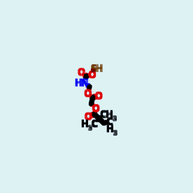 CCC(C)(C)C(=O)OCC(=O)OCNC(=O)OS